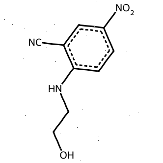 N#Cc1cc([N+](=O)[O-])ccc1NCCO